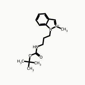 C[n+]1cc2ccccc2n1CCCNC(=O)OC(C)(C)C